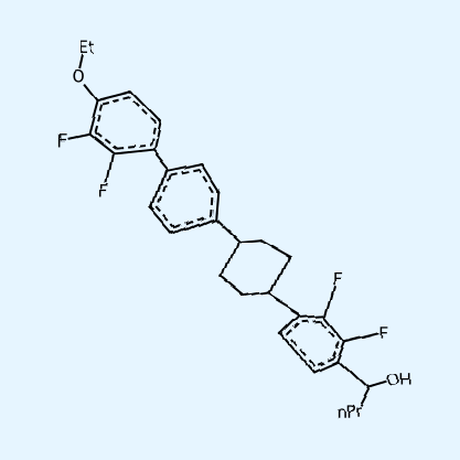 CCCC(O)c1ccc(C2CCC(c3ccc(-c4ccc(OCC)c(F)c4F)cc3)CC2)c(F)c1F